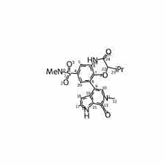 CNS(=O)(=O)c1cc2c(c(-c3cn(C)c(=O)c4[nH]ccc34)c1)OC(C(C)C)C(=O)N2